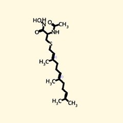 CC(=O)NC(CSC/C=C(\C)CC/C=C(\C)CCC=C(C)C)C(=O)NO